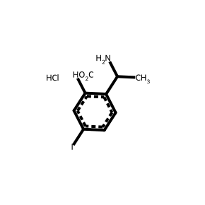 CC(N)c1ccc(I)cc1C(=O)O.Cl